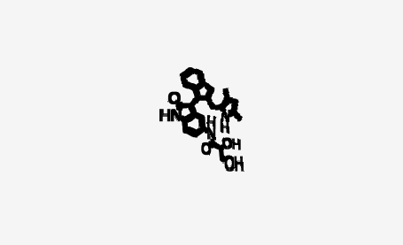 Cc1cc(C)c(CC2=Cc3ccccc3C2C2C(=O)Nc3ccc(NC(=O)C(O)CO)cc32)[nH]1